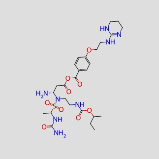 CCC(C)OC(=O)NCCN([C@H](N)CC(=O)OC(=O)c1ccc(OCCNC2=NCCCN2)cc1)S(=O)(=O)C(C)NC(N)=O